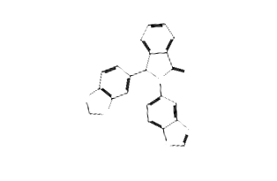 O=C1c2ccccc2C(c2ccc3c(c2)OCO3)N1c1ccc2[nH]cnc2c1